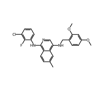 COc1ccc(CNc2cnc(Nc3cccc(Cl)c3F)c3ccc(C)cc23)c(OC)c1